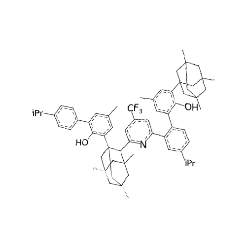 Cc1cc(-c2ccc(C(C)C)cc2-c2cc(C(F)(F)F)cc(C3C4(C)C[C@]5(C)CC3(c3cc(C)cc(-c6ccc(C(C)C)cc6)c3O)C[C@@](C)(C4)C5)n2)c(O)c(C23CC4(C)CC(C)(CC(C)(C4)C2)C3)c1